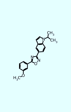 COc1cccc(-c2nc(-c3ccc4c(ccn4C(C)C)c3)no2)c1